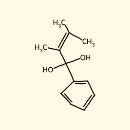 CC(C)=C(C)C(O)(O)c1ccccc1